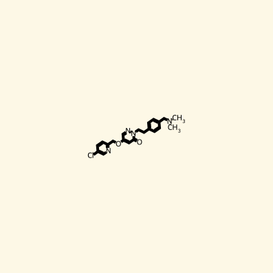 CN(C)Cc1ccc(CCn2ncc(OCc3ccc(Cl)cn3)cc2=O)cc1